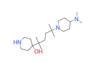 CN(C)C1CCN(C(C)(C)CCC(C)(C)C2(O)CCNCC2)CC1